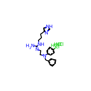 Cl.Cl.Cl.NC(=NCCN(Cc1ccccc1)c1ccc(Cl)cc1)NCCCc1c[nH]cn1